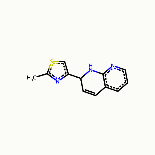 Cc1nc(C2C=Cc3cccnc3N2)cs1